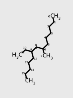 CCCCCCC(C)[CH]C(CC)CCCCC